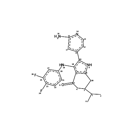 CC(C)C1CC(=O)c2c([nH]c(-c3ccnc(N)c3)c2Nc2ccc(F)c(F)c2)C1